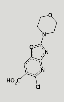 O=C(O)c1cc2oc(N3CCOCC3)nc2nc1Cl